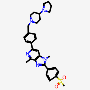 Cc1nc(-c2ccc(CN3CCC(N4CCCC4)CC3)cc2)cc2c1nc(-c1ccc(S(C)(=O)=O)cc1)n2C